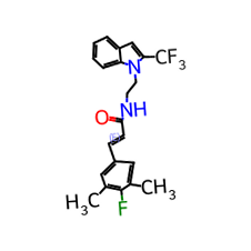 Cc1cc(/C=C/C(=O)NCCn2c(C(F)(F)F)cc3ccccc32)cc(C)c1F